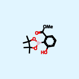 COC(=O)c1cccc(O)c1B1OC(C)(C)C(C)(C)O1